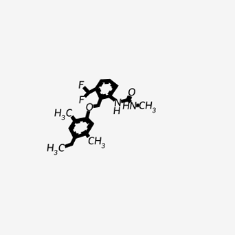 CCc1cc(C)c(OCc2c(NC(=O)NC)cccc2C(F)F)cc1C